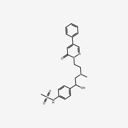 CN(CCn1ncc(-c2ccccc2)cc1=O)CC(O)c1ccc(NS(C)(=O)=O)cc1